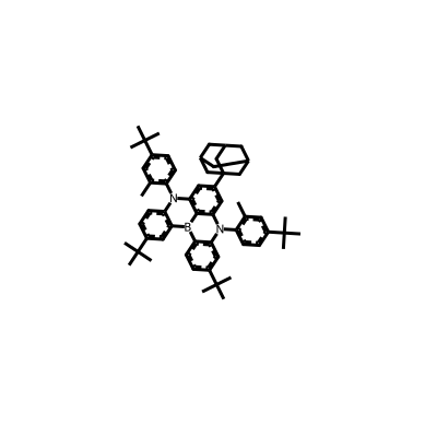 Cc1cc(C(C)(C)C)ccc1N1c2ccc(C(C)(C)C)cc2B2c3ccc(C(C)(C)C)cc3N(c3ccc(C(C)(C)C)cc3C)c3cc(C45CC6CC(CC(C6)C4)C5)cc1c32